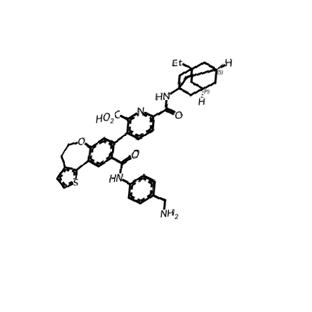 CCC12C[C@H]3C[C@@H](C1)CC(NC(=O)c1ccc(-c4cc5c(cc4C(=O)Nc4ccc(CN)cc4)-c4sccc4CCO5)c(C(=O)O)n1)(C3)C2